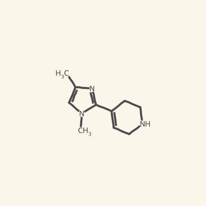 Cc1cn(C)c(C2=CCNCC2)n1